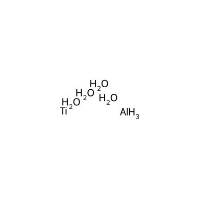 O.O.O.O.[AlH3].[Ti]